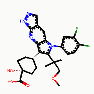 COCC(C)(C)c1c([C@H]2CC[C@](O)(C(=O)O)CC2)c2nc3[nH]ncc3cc2n1-c1ccc(F)c(F)c1